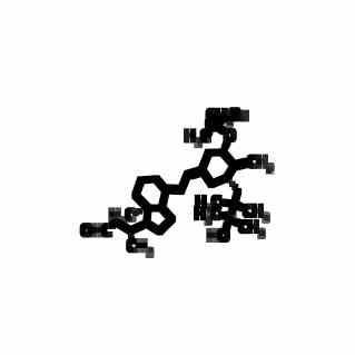 C=C1[C@H](CC(C)(C)[Si](C)(C)O)C/C(=C\C=C2/CCC[C@@]3(C)C2CCC3[C@H](C)CC=O)C[C@H]1O[Si](C)(C)C(C)(C)C